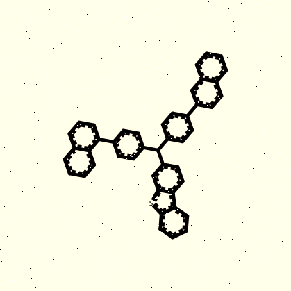 c1ccc2cc(-c3ccc(C(c4ccc(-c5cccc6ccccc56)cc4)c4ccc5c(c4)sc4ccccc45)cc3)ccc2c1